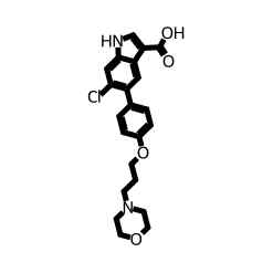 O=C(O)c1c[nH]c2cc(Cl)c(-c3ccc(OCCCN4CCOCC4)cc3)cc12